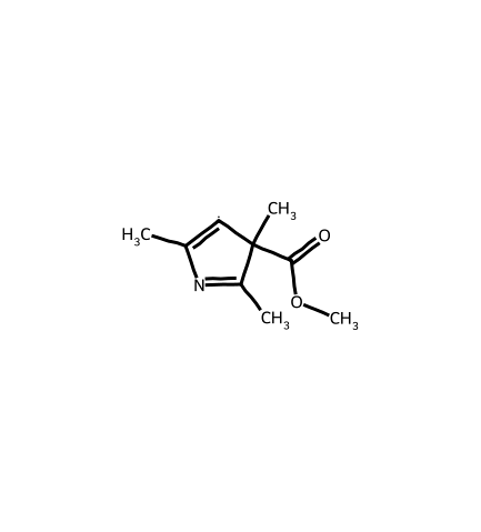 COC(=O)C1(C)[C]=C(C)N=C1C